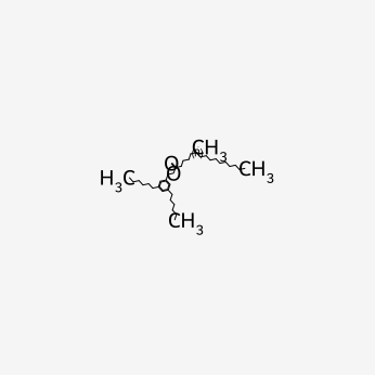 CCCCCCCCCC[C@@H](C)CCCCC(=O)OCc1cc(CCCCCC)cc(CCCCCC)c1